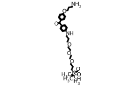 CC(C)(C)N(CCCOCCOCCOCCCNc1ccc(C(=O)c2ccc(OCCCN)cc2)cc1)C(=O)O